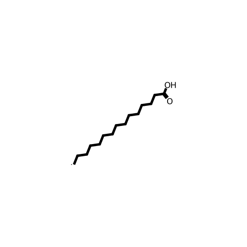 [CH2]CCCCCCCCCCCCCC(=O)O